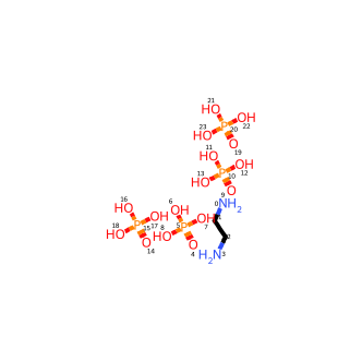 NCCN.O=P(O)(O)O.O=P(O)(O)O.O=P(O)(O)O.O=P(O)(O)O